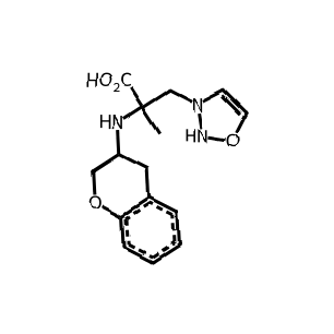 CC(CN1C=CON1)(NC1COc2ccccc2C1)C(=O)O